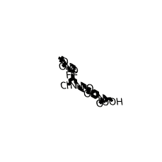 CC(C)(C)OC(=O)N1CCO[C@H](C(F)(F)c2cc(Cl)nc(N3CCN(S(=O)(=O)c4ccc(N5CC(CO)OC5=O)cc4)CC3)c2)C1